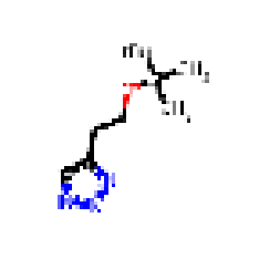 CC(C)(C)[Si](C)(C)OCCc1c[nH]nn1